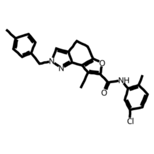 Cc1ccc(Cn2cc3c(n2)-c2c(oc(C(=O)Nc4cc(Cl)ccc4C)c2C)CC3)cc1